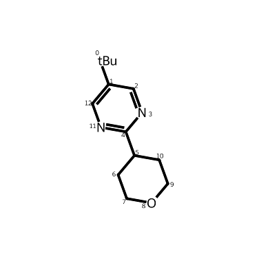 CC(C)(C)c1cnc(C2CCOCC2)nc1